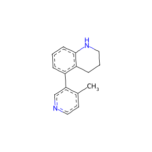 Cc1ccncc1-c1cccc2c1CCCN2